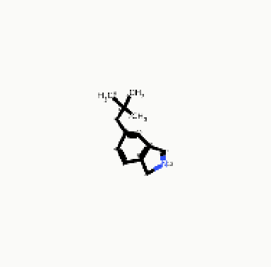 CC(C)(C)Cc1ccc2c(c1)C=NC2